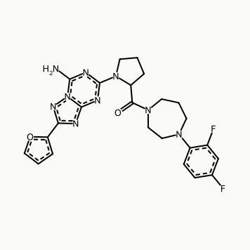 Nc1nc(N2CCCC2C(=O)N2CCCN(c3ccc(F)cc3F)CC2)nc2nc(-c3ccco3)nn12